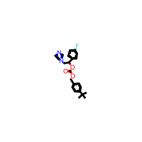 CC(C)(C)c1ccc(COC(=O)OC(Cn2ccnc2)c2ccc(F)cc2)cc1